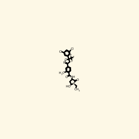 CCN1C(=O)C(NC(=O)c2ccc(C3=NOC(c4cc(Cl)cc(Cl)c4)(C(F)(F)F)C3)cc2C)CC1O